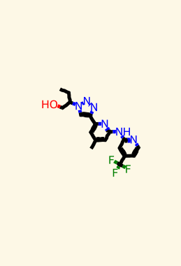 CCC(CO)n1cc(-c2cc(C)cc(Nc3cc(C(F)(F)F)ccn3)n2)nn1